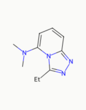 CCc1nnc2cccc(N(C)C)n12